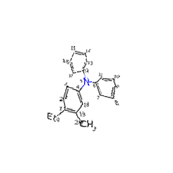 CCc1ccc(N(c2ccccc2)c2ccccc2)cc1C